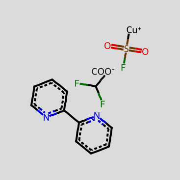 O=C([O-])C(F)F.O=[S](=O)(F)[Cu+].c1ccc(-c2ccccn2)nc1